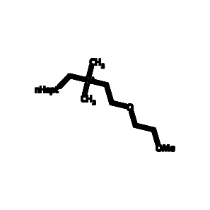 CCCCCCCC[N+](C)(C)CCOCCOC